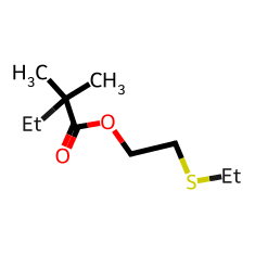 CCSCCOC(=O)C(C)(C)CC